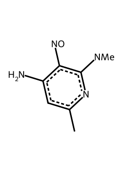 CNc1nc(C)cc(N)c1N=O